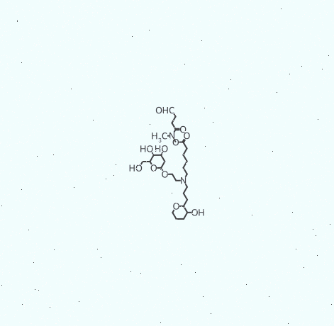 CN(OC(=O)CCCCCN(CCCC1OCCCC1O)CCO[C@@H]1CC(O)[C@H](O)C(CO)O1)C(=O)CCC=O